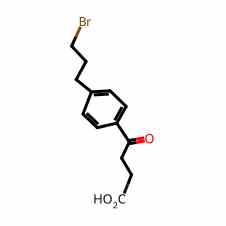 O=C(O)CCC(=O)c1ccc(CCCBr)cc1